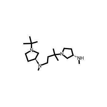 CN[C@H]1CCN(C(C)(C)CCN(C)[C@H]2CCN(C(C)(C)C)C2)C1